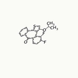 CC(C)Oc1csc2c3ccccc3c(=O)c3ccc(F)c(F)c3c12